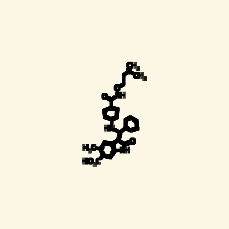 Cc1cc2c(cc1C(=O)O)NC(=O)C2=C(Nc1ccc(C(=O)NOCCN(C)C)cc1)c1ccccc1